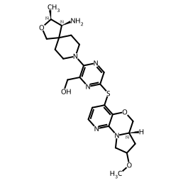 COC1C[C@H]2COc3c(Sc4cnc(N5CCC6(CC5)CO[C@@H](C)[C@H]6N)c(CO)n4)ccnc3N2C1